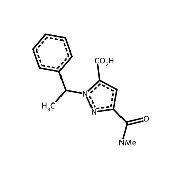 CNC(=O)c1cc(C(=O)O)n(C(C)c2ccccc2)n1